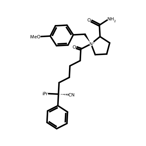 COc1ccc(C[N@+]2(C(=O)CCCC[C@@](C#N)(c3ccccc3)C(C)C)CCCC2C(N)=O)cc1